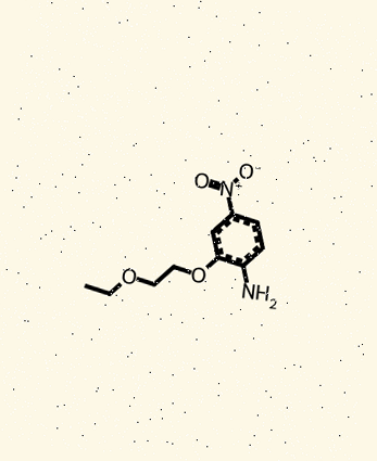 CCOCCOc1cc([N+](=O)[O-])ccc1N